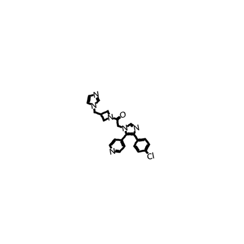 O=C(Cn1cnc(-c2ccc(Cl)cc2)c1-c1ccncc1)N1CC(Cn2ccnc2)C1